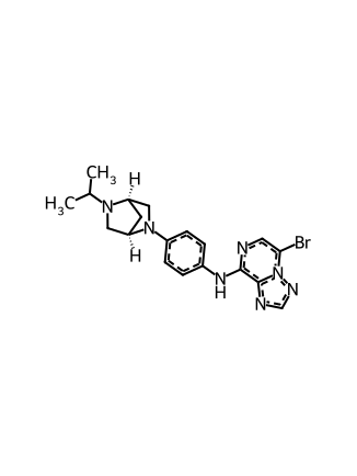 CC(C)N1C[C@H]2C[C@@H]1CN2c1ccc(Nc2ncc(Br)n3ncnc23)cc1